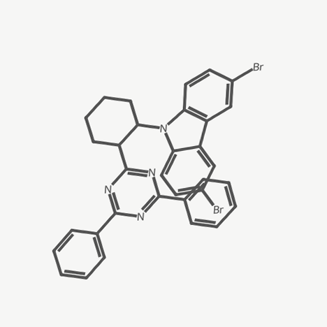 Brc1ccc2c(c1)c1cc(Br)ccc1n2C1CCCCC1c1nc(-c2ccccc2)nc(-c2ccccc2)n1